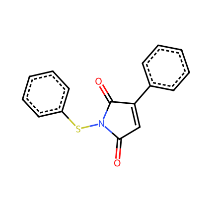 O=C1C=C(c2ccccc2)C(=O)N1Sc1ccccc1